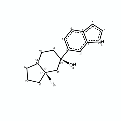 O[C@]1(c2ccc3cc[nH]c3c2)CCN2CCC[C@H]2C1